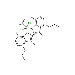 CCCc1ccc(C)c2c1C(C)=C(C)[CH]2[Zr]([Cl])([Cl])([CH]1C(C)=C(C)c2c(CCC)ccc(C)c21)[SiH](C)C